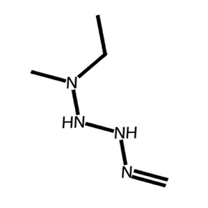 C=NNNN(C)CC